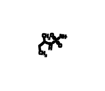 CCC(C)NS([NH])(=O)=O